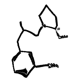 COc1cccc(CC(C)CN2CCC[C@@H]2OC)c1